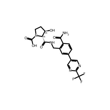 NC(=O)c1ccc(-c2cnc(C(F)(F)F)nc2)cc1CNC(=O)[C@H]1[C@H](O)CCN1C(=O)O